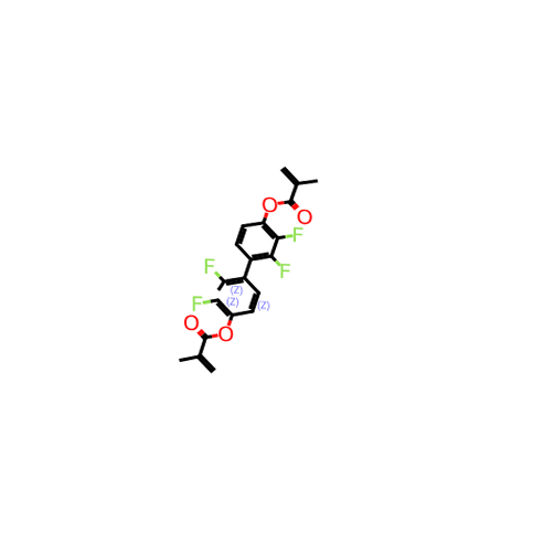 C=C(C)C(=O)OC(/C=C\C(=C(/C)F)c1ccc(OC(=O)C(=C)C)c(F)c1F)=C\F